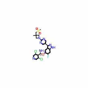 CC1(CS(C)(=O)=O)CN(c2ncc(-c3n[nH]c4cc(F)c(O[C@H](N)c5c(Cl)cncc5Cl)cc34)cn2)C1